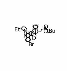 CCC1CCCN(c2nc3ccc(Br)cc3c(C(=O)NCC(CCC(=O)OC(C)(C)C)c3ccccc3Cl)c2C)C1